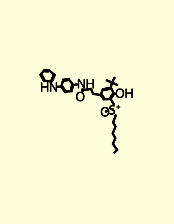 CCCCCCCC[S+]([O-])Cc1cc(CCC(=O)Nc2ccc(Nc3ccccc3)cc2)cc(C(C)(C)C)c1O